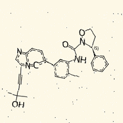 Cc1ccc(-c2ccc3ncc(C#CC(C)(C)O)n3c2)cc1NC(=O)N1OCC[C@H]1c1ccccc1